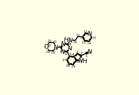 N#Cc1cc2c(-c3nc(NCCc4cccnc4)nc(N4CCOCC4)n3)cccc2[nH]1